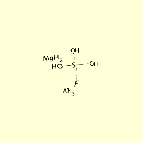 O[Si](O)(O)F.[AlH3].[MgH2]